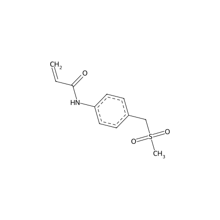 C=CC(=O)Nc1ccc(CS(C)(=O)=O)cc1